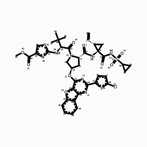 C=C[C@@H]1C[C@]1(NC(=O)[C@@H]1C[C@@H](Oc2nc(-c3ccc(Cl)s3)nc3c2oc2ccccc23)CN1C(=O)[C@@H](Nc1nc(C(=O)OC)cs1)C(C)(C)C)C(=O)NS(=O)(=O)C1CC1